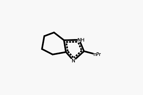 CCCc1nc2c([nH]1)CCCC2